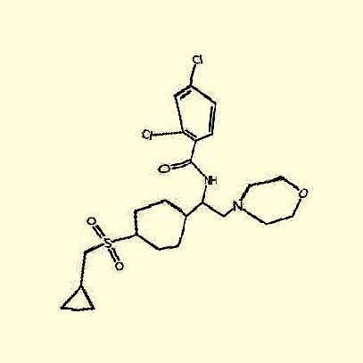 O=C(NC(CN1CCOCC1)C1CCC(S(=O)(=O)CC2CC2)CC1)c1ccc(Cl)cc1Cl